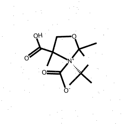 CC(C)(C)[N@@+]1(C(=O)[O-])C(C)(C)OCC1(C)C(=O)O